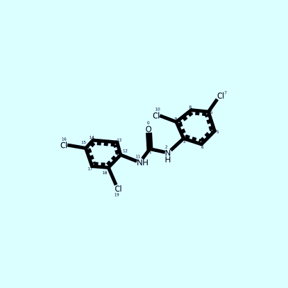 O=C(Nc1ccc(Cl)cc1Cl)Nc1ccc(Cl)cc1Cl